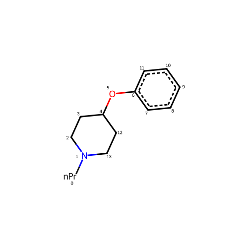 [CH2]CCN1CCC(Oc2ccccc2)CC1